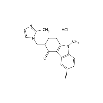 Cc1nccn1CC1CCc2c(c3cc(F)ccc3n2C)C1=O.Cl